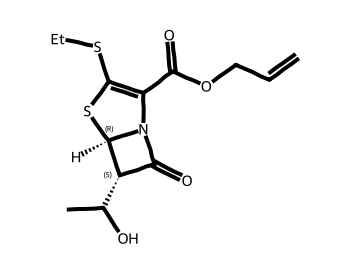 C=CCOC(=O)C1=C(SCC)S[C@@H]2[C@@H](C(C)O)C(=O)N12